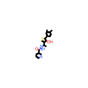 C/C(=N\NC(=O)c1cccnc1)c1csc(-c2ccc(C)c(C)c2)c1O